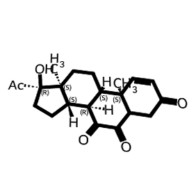 CC(=O)[C@@]1(O)CC[C@H]2[C@@H]3C(=O)C(=O)C4CC(=O)C=C[C@]4(C)[C@H]3CC[C@@]21C